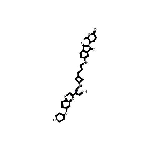 N=C/C(=C\NC1CC(CCCNc2ccc3c(c2)C(=O)N(C2CCC(=O)NC2=O)C3=O)C1)c1cnc2ccc(OC3CCNCC3)cc2n1